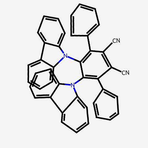 N#Cc1c(C#N)c(-c2ccccc2)c(-n2c3ccccc3c3ccccc32)c(-n2c3ccccc3c3ccccc32)c1-c1ccccc1